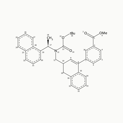 COC(=O)c1cccc(C2=CC(CN(C(=O)OC(C)(C)C)[C@H](C)c3cccc4ccccc34)Cc3ccccc32)c1